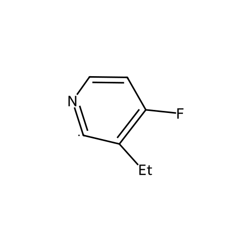 CCc1[c]nccc1F